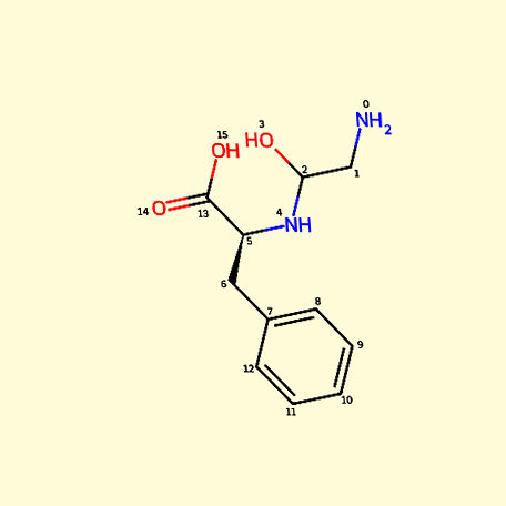 NCC(O)N[C@@H](Cc1ccccc1)C(=O)O